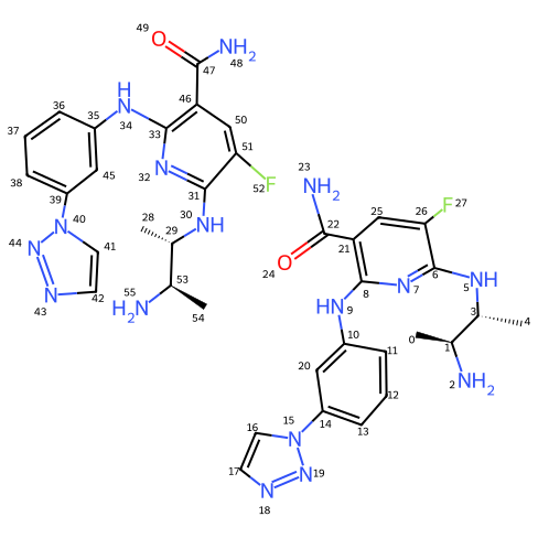 C[C@H](N)[C@@H](C)Nc1nc(Nc2cccc(-n3ccnn3)c2)c(C(N)=O)cc1F.C[C@H](Nc1nc(Nc2cccc(-n3ccnn3)c2)c(C(N)=O)cc1F)[C@@H](C)N